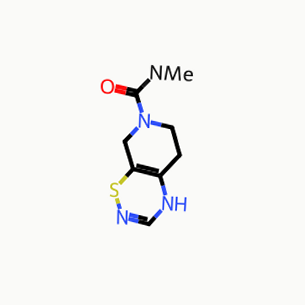 CNC(=O)N1CCC2=C(C1)SN=CN2